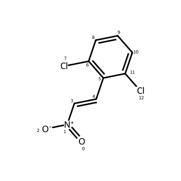 O=[N+]([O-])/C=C/c1c(Cl)cccc1Cl